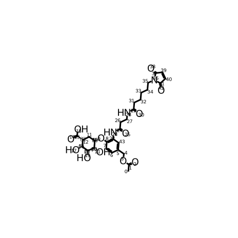 CC(=O)OCc1ccc(O[C@@H]2C[C@H](C(=O)O)[C@@H](O)[C@H](O)[C@H]2O)c(NC(=O)CCNC(=O)CCCCCN2C(=O)C=CC2=O)c1